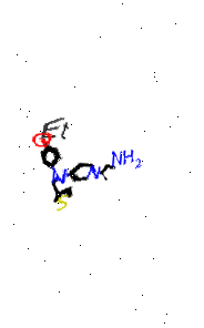 CCOc1ccc(N(Cc2ccsc2)C2CCN([C@H](C)CCN)CC2)cc1